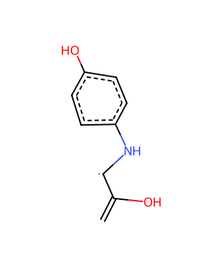 C=C(O)[CH]Nc1ccc(O)cc1